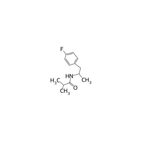 CC(Cc1ccc(F)cc1)NC(=O)C(C)C